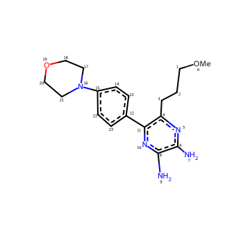 COCCCc1nc(N)c(N)nc1-c1ccc(N2CCOCC2)cc1